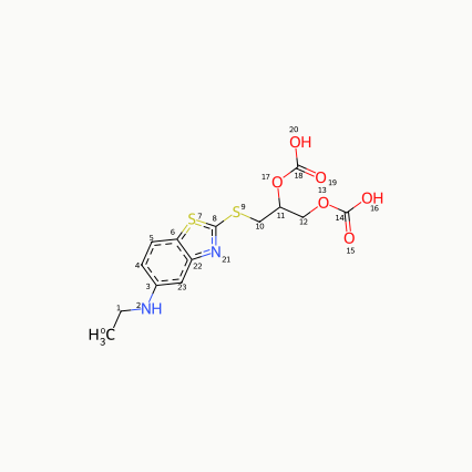 CCNc1ccc2sc(SCC(COC(=O)O)OC(=O)O)nc2c1